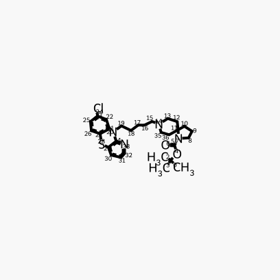 CC(C)(C)OC(=O)N1CCCC12CCN(CCCCCN1c3cc(Cl)ccc3Sc3cccnc31)CC2